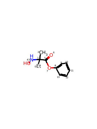 CCC(C)(NO)C(=O)Oc1ccccc1